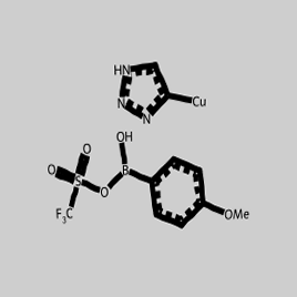 COc1ccc(B(O)OS(=O)(=O)C(F)(F)F)cc1.[Cu][c]1c[nH]nn1